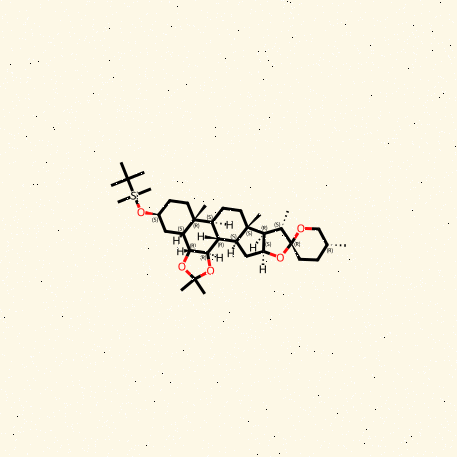 C[C@@H]1CC[C@@]2(OC1)O[C@H]1C[C@H]3[C@@H]4[C@H]5OC(C)(C)O[C@@H]5[C@H]5C[C@@H](O[Si](C)(C)C(C)(C)C)CC[C@]5(C)[C@H]4CC[C@]3(C)[C@H]1[C@@H]2C